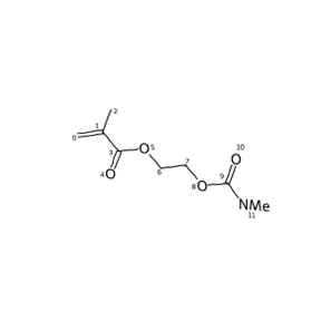 C=C(C)C(=O)OCCOC(=O)NC